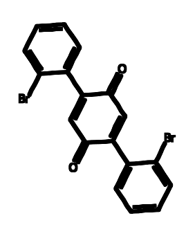 O=C1C=C(c2ccccc2Br)C(=O)C=C1c1ccccc1Br